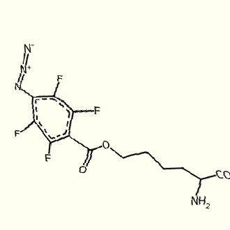 [N-]=[N+]=Nc1c(F)c(F)c(C(=O)OCCCCC(N)C(=O)O)c(F)c1F